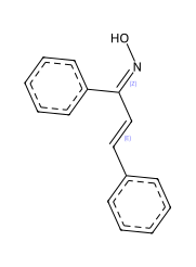 O/N=C(/C=C/c1ccccc1)c1ccccc1